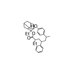 CCC(CC(CC(C)c1ccc(O)cc1)c1ccccc1)C(=O)OC1(CC)C2CC3CC(C2)CC1C3